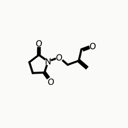 C=C(C=O)CON1C(=O)CCC1=O